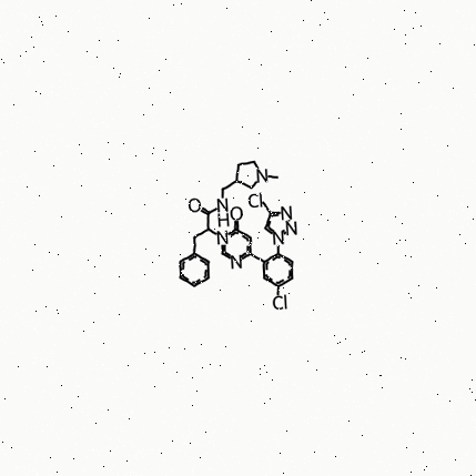 CN1CCC(CNC(=O)C(Cc2ccccc2)n2cnc(-c3cc(Cl)ccc3-n3cc(Cl)nn3)cc2=O)C1